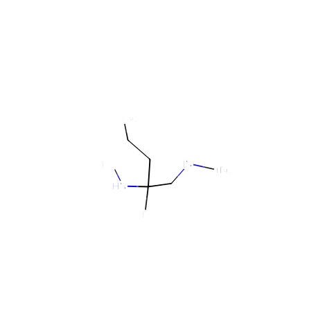 CCC(CCC(C)(C)C)(CNC(C)(C)C)NC(C)C